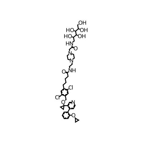 O=C(CCCCc1cc(Cl)c(COC2(c3cnccc3-c3ccccc3OC3CC3)CC2)cc1Cl)NCCN1CCN(CC(=O)NCC(O)C(O)C(O)C(O)CO)CC1